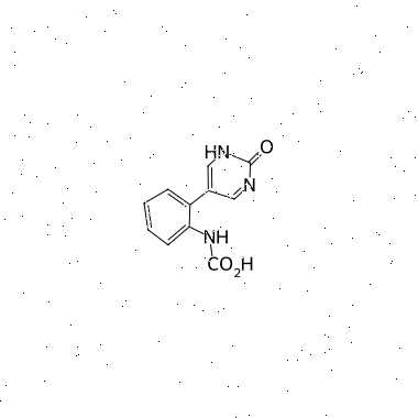 O=C(O)Nc1ccccc1-c1cnc(=O)[nH]c1